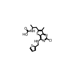 Cc1c(CC(C)NC(=O)O)sc2c(NCc3cccs3)nc(Cl)nc12